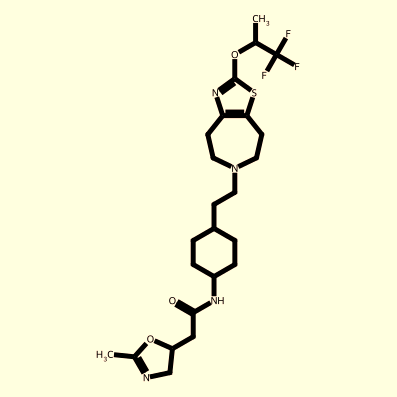 CC1=NCC(CC(=O)NC2CCC(CCN3CCc4nc(OC(C)C(F)(F)F)sc4CC3)CC2)O1